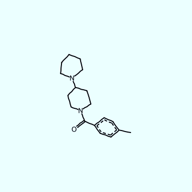 Cc1ccc(C(=O)N2CCC(N3CCCCC3)CC2)cc1